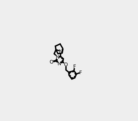 O=c1nc(OCc2cccc(F)c2F)cc2n1CC13CCC(CC1)N23